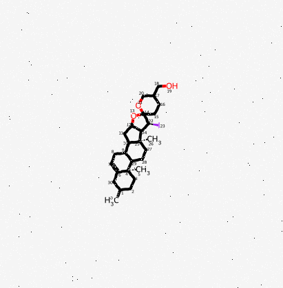 CC1CC[C@@]2(C)C(=CCC3C4CC5OC6(CCC(CO)CO6)[C@@H](I)C5[C@@]4(C)CCC32)C1